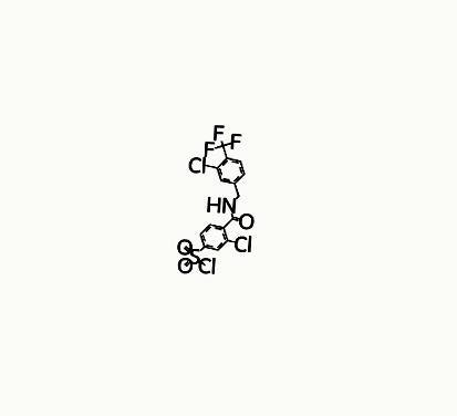 O=C(NCc1ccc(C(F)(F)F)c(Cl)c1)c1ccc(S(=O)(=O)Cl)cc1Cl